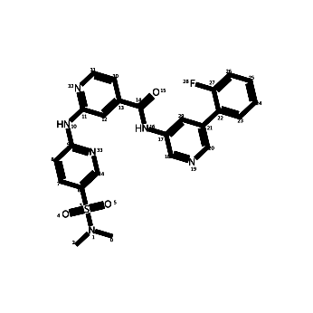 CN(C)S(=O)(=O)c1ccc(Nc2cc(C(=O)Nc3cncc(-c4ccccc4F)c3)ccn2)nc1